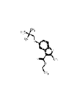 CCOC(=O)c1c(C)oc2ccc(OCC(C)(C)C)cc12